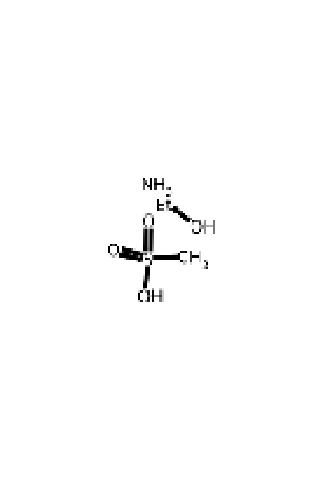 CCO.CS(=O)(=O)O.N